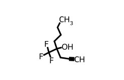 C#CCC(O)(CCCC)C(F)(F)F